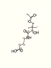 CC(=O)OCC(C)(C)C(O)C(=O)NCCCC(=O)O